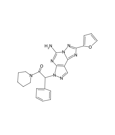 Nc1nc2c(cnn2C(C(=O)N2CCCCC2)c2ccccc2)c2nc(-c3ccco3)nn12